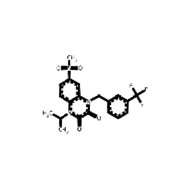 CC(C)n1c(=O)c(=O)n(Cc2cccc(C(F)(F)F)c2)c2cc(S(C)(=O)=O)ccc21